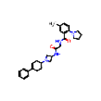 Cc1ccc(N2CCCC2)c(C(=O)NCC(=O)NC2CN(C3CCC(c4ccccc4)CC3)C2)c1